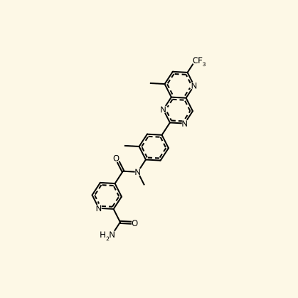 Cc1cc(-c2ncc3nc(C(F)(F)F)cc(C)c3n2)ccc1N(C)C(=O)c1ccnc(C(N)=O)c1